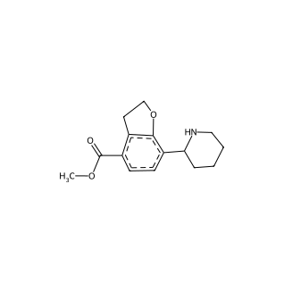 COC(=O)c1ccc(C2CCCCN2)c2c1CCO2